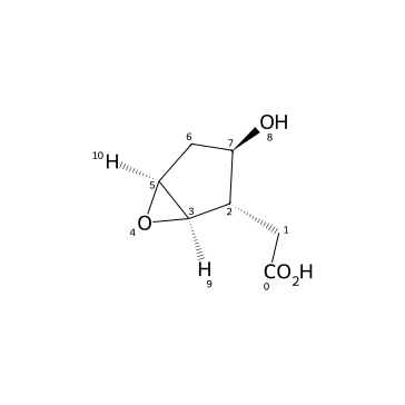 O=C(O)C[C@@H]1[C@H]2O[C@H]2C[C@H]1O